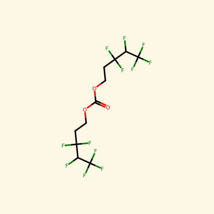 O=C(OCCC(F)(F)C(F)C(F)(F)F)OCCC(F)(F)C(F)C(F)(F)F